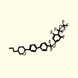 CCCC1CCC(c2ccc(-c3ccc(C(F)(F)Oc4cc(F)c(C(F)(F)OC(F)(F)F)c(F)c4)cc3)cc2)OC1